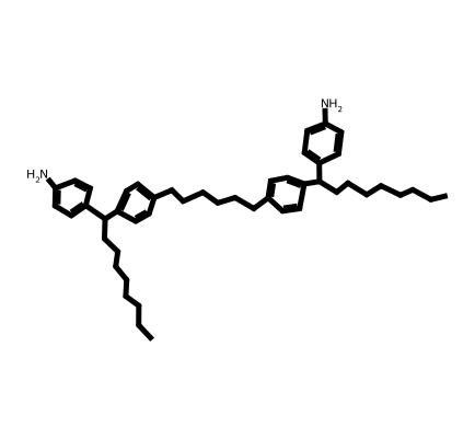 CCCCCCCCC(c1ccc(N)cc1)c1ccc(CCCCCCc2ccc(C(CCCCCCCC)c3ccc(N)cc3)cc2)cc1